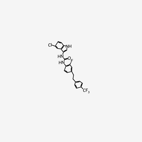 O=C(Nc1ccc(CCc2ccc(C(F)(F)F)cc2)cc1F)Nc1c[nH]c2ccc(Cl)cc12